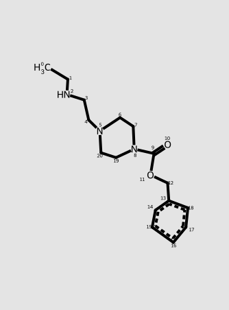 CCNCCN1CCN(C(=O)OCc2ccccc2)CC1